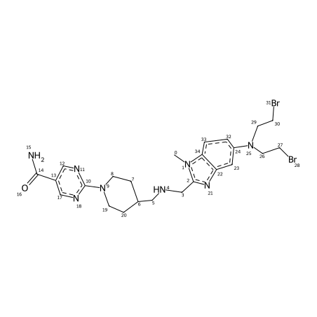 Cn1c(CNCC2CCN(c3ncc(C(N)=O)cn3)CC2)nc2cc(N(CCBr)CCBr)ccc21